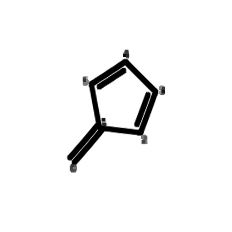 C=C1C=CC=C1